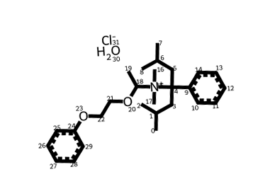 CC(C)CC(CC(C)C)(c1ccccc1)[N+](C)(C)C(C)OCCOc1ccccc1.O.[Cl-]